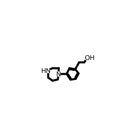 OCCc1cccc(N2CCCNCC2)c1